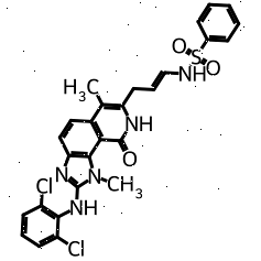 Cc1c(CC=CNS(=O)(=O)c2ccccc2)[nH]c(=O)c2c1ccc1nc(Nc3c(Cl)cccc3Cl)n(C)c12